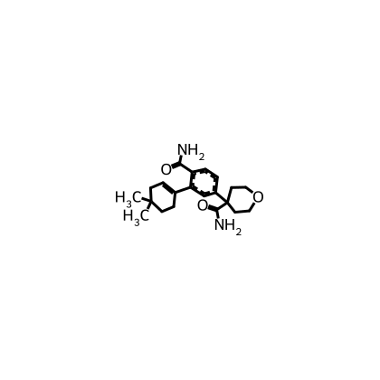 CC1(C)CC=C(c2cc(C3(C(N)=O)CCOCC3)ccc2C(N)=O)CC1